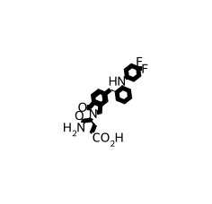 NC(=O)[C@H](CCC(=O)O)N1Cc2cc(C[C@H]3CCCC[C@@H]3NC3CCC(F)(F)CC3)ccc2C1=O